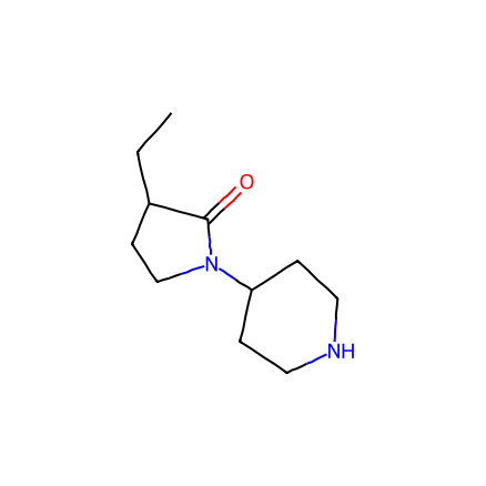 CCC1CCN(C2CCNCC2)C1=O